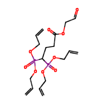 C=CCOP(=O)(OCC=C)C(CCC(=O)OCC=O)P(=O)(OCC=C)OCC=C